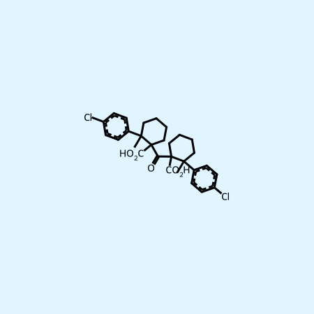 CC1(c2ccc(Cl)cc2)CCCCC1(C(=O)O)C(=O)C1(C(=O)O)CCCCC1(C)c1ccc(Cl)cc1